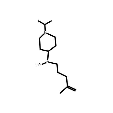 C=C(C)CCCN(CCC)C1CCN(C(C)I)CC1